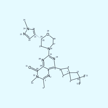 Cc1nc2c(C3CC4(C3)CC(F)(F)C4)nc(N3CCO[C@@H](c4cnn(C)c4)C3)nc2c(=O)n1C